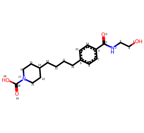 O=C(NCCO)c1ccc(CCCCC2CCN(C(=O)O)CC2)cc1